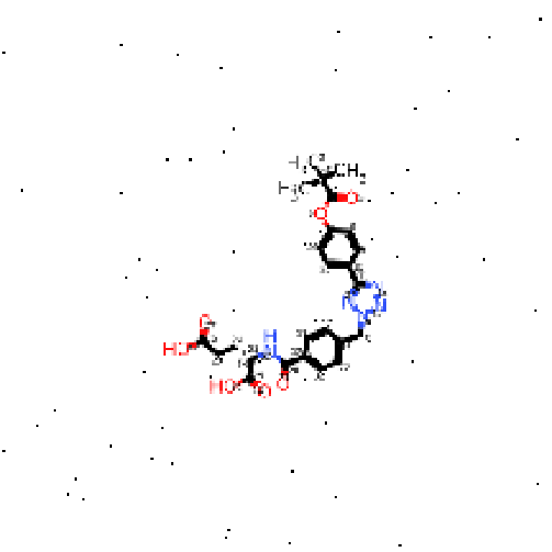 CC(C)(C)C(=O)Oc1ccc(-c2nnn(Cc3ccc(C(=O)N[C@@H](CCC(=O)O)C(=O)O)cc3)n2)cc1